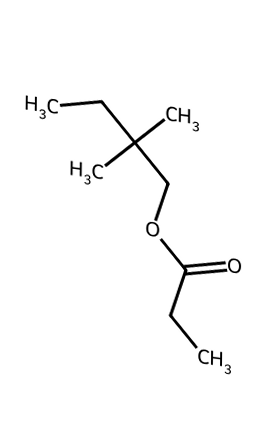 CCC(=O)OCC(C)(C)CC